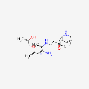 C=C(O)COC(=C)/C=C(/N)C(=C)NCCC(=O)C1=C2CCCCC(=C1)CN2